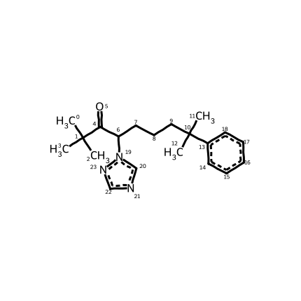 CC(C)(C)C(=O)C(CCCC(C)(C)c1ccccc1)n1cncn1